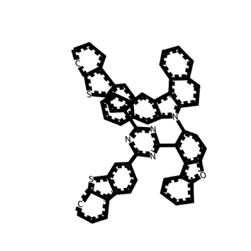 c1ccc2cc3c(cc2c1)c1c2ccccc2ccc1n3-c1ccc2oc3ccccc3c2c1-c1nc(-c2ccc3c(c2)sc2ccccc23)nc(-c2ccc3c(c2)sc2ccccc23)n1